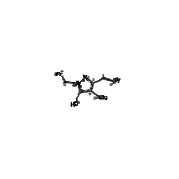 CC(C)Cc1nn(CC(C)C)c(O)c1C(C)(C)C